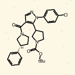 CC(C)(C)OC(=O)N1CCC(c2c(C(=O)N3CC[C@H](c4ccccc4)C3)cnn2-c2ccc(Cl)cc2)C1